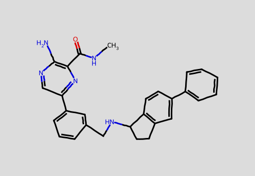 CNC(=O)c1nc(-c2cccc(CNC3CCc4cc(-c5ccccc5)ccc43)c2)cnc1N